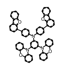 c1ccc2c(c1)Oc1ccccc1N2c1cc(N(c2ccc(-c3cccc4c3oc3ccccc34)cc2)c2ccc(-c3cccc4c3oc3ccccc34)cc2)cc(N2c3ccccc3Oc3ccccc32)c1